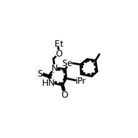 CCOCn1c([Se]c2cccc(C)c2)c(C(C)C)c(=O)[nH]c1=S